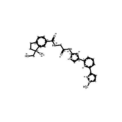 Cn1ccc(-c2cccc(-c3csc(NC(=O)CNC(=O)c4ccc5c(c4)[C@](C)(CO)CC5)n3)n2)n1